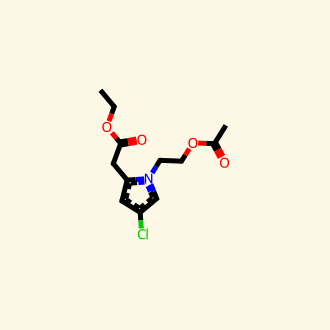 CCOC(=O)Cc1cc(Cl)cn1CCOC(C)=O